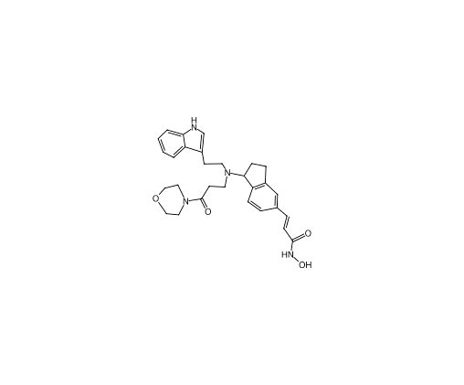 O=C(C=Cc1ccc2c(c1)CCC2N(CCC(=O)N1CCOCC1)CCc1c[nH]c2ccccc12)NO